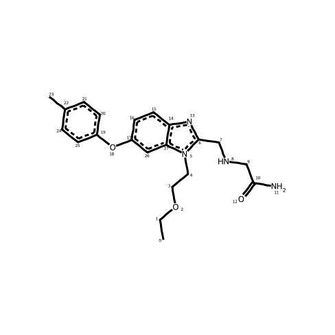 CCOCCn1c(CNCC(N)=O)nc2ccc(Oc3ccc(C)cc3)cc21